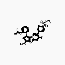 CS(=O)(=O)c1ccc(-c2cn3c4c(nc3cc2F)C(O)C[C@@H]4c2ccccc2OC(F)F)cn1